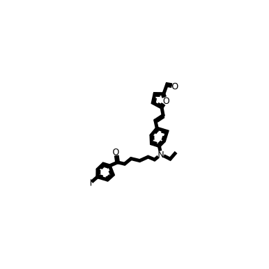 CCN(CCCCCC(=O)c1ccc(I)cc1)c1ccc(C=Cc2ccc(C=O)o2)cc1